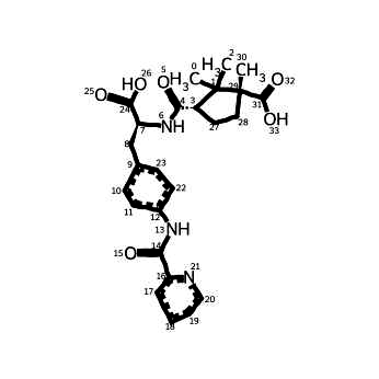 CC1(C)[C@@H](C(=O)N[C@@H](Cc2ccc(NC(=O)c3ccccn3)cc2)C(=O)O)CC[C@@]1(C)C(=O)O